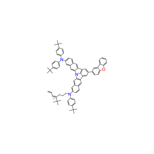 C=C/C=C(\CCCN(c1ccc(C(C)(C)C)cc1)c1ccc2cc3c4cc(-c5ccc6oc7ccccc7c6c5)cc5c6cc7ccc(N(c8ccc(C(C)(C)C)cc8)c8ccc(C(C)(C)C)cc8)cc7cc6n(c3cc2c1)c45)C(C)(C)C